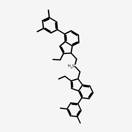 CCC1=Cc2c(-c3cc(C)cc(C)c3)cccc2C1C[SiH2]CC1C(CC)=Cc2c(-c3cc(C)cc(C)c3)cccc21